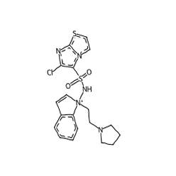 O=S(=O)(N[N+]1(CCN2CCCC2)C=Cc2ccccc21)c1c(Cl)nc2sccn12